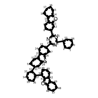 c1ccc(-c2nc(-c3ccc4c(c3)oc3ccccc34)nc(-c3ccc4c(c3)sc3cc(-c5ccccc5-c5cccc6c5oc5ccccc56)ccc34)n2)cc1